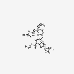 CCNc1ncn(Cc2ccc(OC)c(OC3CCC(O)C3)c2)c2nc(C(C)C)nc1-2